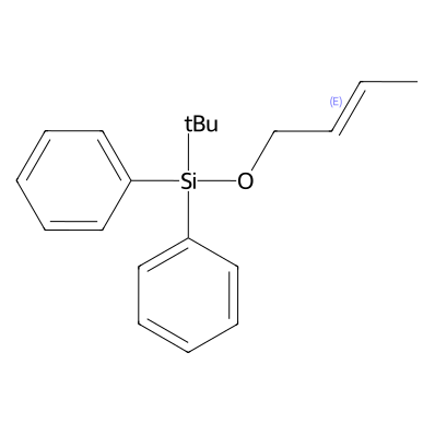 C/C=C/CO[Si](c1ccccc1)(c1ccccc1)C(C)(C)C